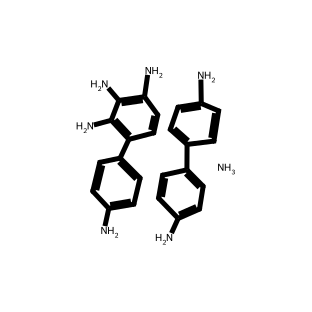 N.Nc1ccc(-c2ccc(N)c(N)c2N)cc1.Nc1ccc(-c2ccc(N)cc2)cc1